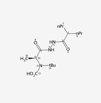 CCCC(CCC)C(=O)NNC(=O)[C@H](C)N(C(=O)O)C(C)(C)C